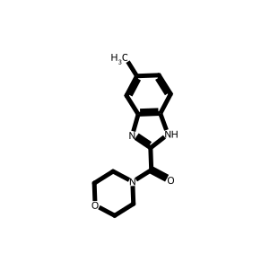 Cc1ccc2[nH]c(C(=O)N3CCOCC3)nc2c1